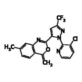 C=C1OC(c2cc(C(F)(F)F)nn2-c2ncccc2Cl)=Nc2cc(C)ccc21